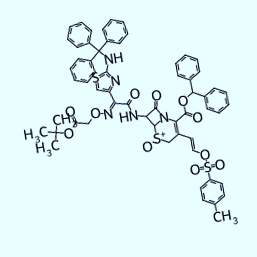 Cc1ccc(S(=O)(=O)OC=CC2=C(C(=O)OC(c3ccccc3)c3ccccc3)N3C(=O)C(NC(=O)C(=NOCC(=O)OC(C)(C)C)c4csc(NC(c5ccccc5)(c5ccccc5)c5ccccc5)n4)C3[S+]([O-])C2)cc1